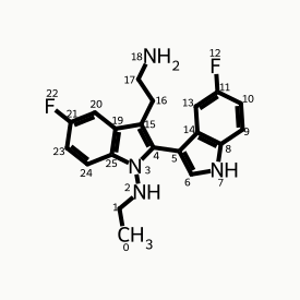 CCNn1c(-c2c[nH]c3ccc(F)cc23)c(CCN)c2cc(F)ccc21